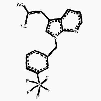 CC(=O)/C(C#N)=C/c1cn(Cc2cccc(S(F)(F)(F)(F)F)c2)c2ncccc12